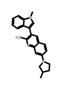 CC1CCN(c2ccc3cc(-c4cn(C)c5ccccc45)c(N)nc3c2)C1